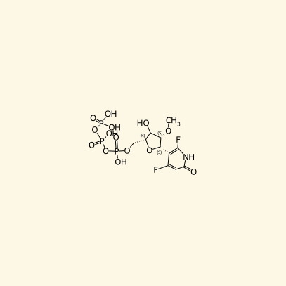 CO[C@H]1C(O)[C@@H](COP(=O)(O)OP(=O)(O)OP(=O)(O)O)O[C@H]1c1c(F)cc(=O)[nH]c1F